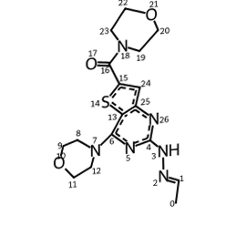 C/C=N/Nc1nc(N2CCOCC2)c2sc(C(=O)N3CCOCC3)cc2n1